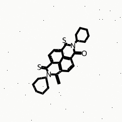 C=c1c2ccc3c4c(ccc(c(=S)n1C1CCCCC1)c42)C(=S)N(C1CCCCC1)C3=O